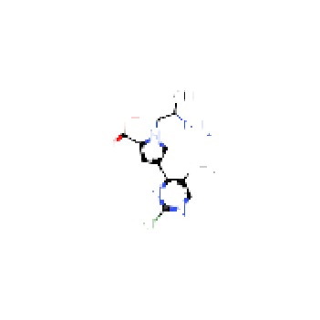 Cc1cnc(Cl)nc1-c1cc(C(=O)O)n(CC(C)N)c1